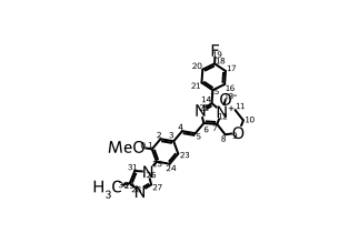 COc1cc(C=CC2=C3COCC[N+]3([O-])C(c3ccc(F)cc3)=N2)ccc1-n1cnc(C)c1